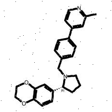 Cc1cc(-c2ccc(CN3CCC[C@@H]3c3ccc4c(c3)OCCO4)cc2)ccn1